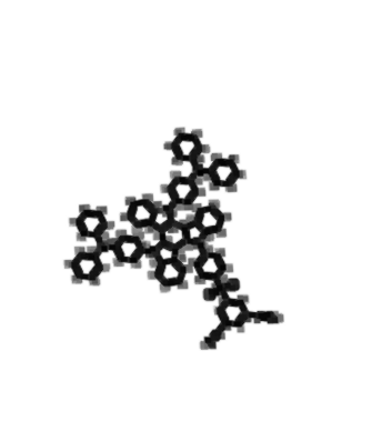 N#Cc1cc(C#N)cc(S(=O)(=O)c2ccc(-n3c4ccccc4c4c5c(c6ccccc6n5-c5ccc(N(c6ccccc6)c6ccccc6)cc5)c5c(c6ccccc6n5-c5ccc(N(c6ccccc6)c6ccccc6)cc5)c43)cc2)c1